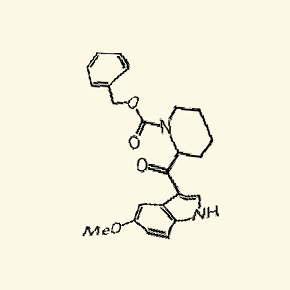 COc1ccc2[nH]cc(C(=O)C3CCCCN3C(=O)OCc3ccccc3)c2c1